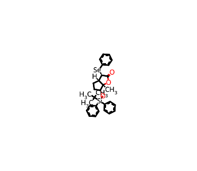 CC(C)(C)[Si](O[C@H]1CC[C@@H]2[C@@H]([Se]c3ccccc3)C(=O)O[C@]12C)(c1ccccc1)c1ccccc1